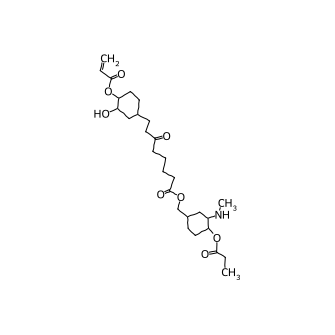 C=CC(=O)OC1CCC(CCC(=O)CCCCC(=O)OCC2CCC(OC(=O)CC)C(NC)C2)CC1O